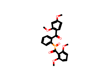 COc1ccc(C(=O)c2ccccc2[P](=O)C(=O)c2c(OC)cccc2OC)c(OC)c1